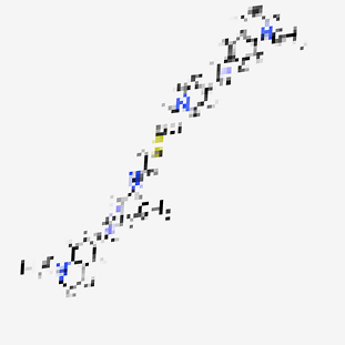 C=CC(/C=C/c1ccc2c(c1)CCCN2C)=C\C=N\CCSSCC[n+]1ccc(/C=C/c2ccc3c(c2)CCCN3C)cc1